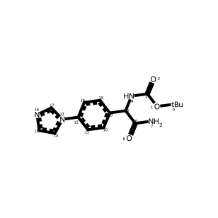 CC(C)(C)OC(=O)NC(C(N)=O)c1ccc(-n2ccnc2)cc1